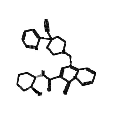 N#CC1(c2ccccn2)CCN(Cc2cc(C(=O)N[C@H]3CCCC[C@@H]3Br)c(=O)n3ccccc23)CC1